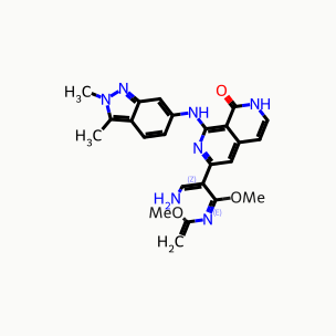 C=C(/N=C(OC)\C(=C/N)c1cc2cc[nH]c(=O)c2c(Nc2ccc3c(C)n(C)nc3c2)n1)OC